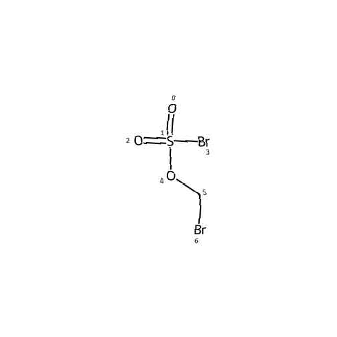 O=S(=O)(Br)OCBr